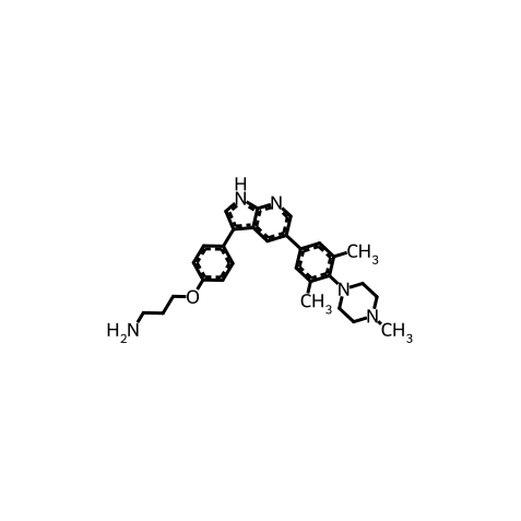 Cc1cc(-c2cnc3[nH]cc(-c4ccc(OCCCN)cc4)c3c2)cc(C)c1N1CCN(C)CC1